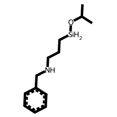 CC(C)O[SiH2]CCCNCc1ccccc1